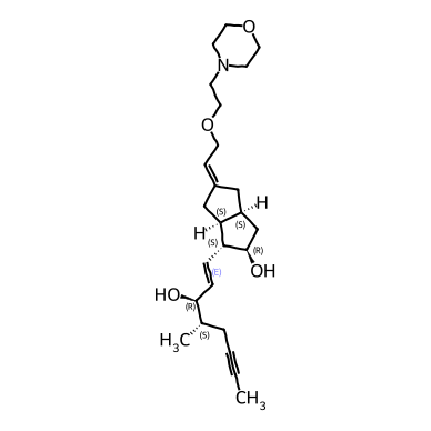 CC#CC[C@H](C)[C@@H](O)/C=C/[C@@H]1[C@H]2CC(=CCOCCN3CCOCC3)C[C@H]2C[C@H]1O